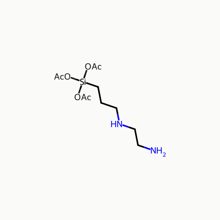 CC(=O)O[Si](CCCNCCN)(OC(C)=O)OC(C)=O